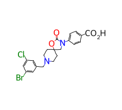 O=C(O)c1ccc(N2CC3(CCN(Cc4cc(Cl)cc(Br)c4)CC3)OC2=O)cc1